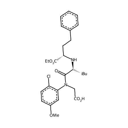 CCOC(=O)[C@H](CCc1ccccc1)N[C@H](C(=O)N(CC(=O)O)c1cc(OC)ccc1Cl)[C@@H](C)CC